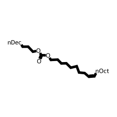 CCCCCCCC/C=C\CCCCCCCCOC(=O)OCCCCCCCCCCCCC